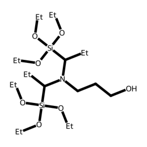 CCO[Si](OCC)(OCC)C(CC)N(CCCO)C(CC)[Si](OCC)(OCC)OCC